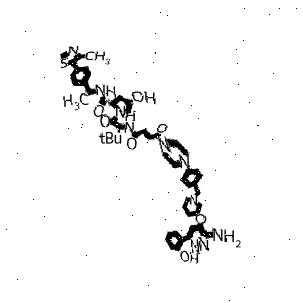 Cc1ncsc1-c1ccc([C@H](C)NC(=O)[C@@H]2C[C@@H](O)CN2C(=O)[C@@H](NC(=O)CCC(=O)N2CCN(c3ccc(CN4CCCC(Oc5cc(-c6ccccc6O)nnc5N)C4)cc3)CC2)C(C)(C)C)cc1